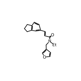 CCN(Cc1ccoc1)C(=O)C=Cc1ccc2c(c1)CCC2